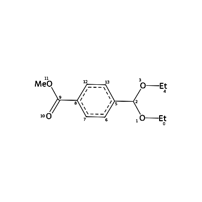 CCOC(OCC)c1ccc(C(=O)OC)cc1